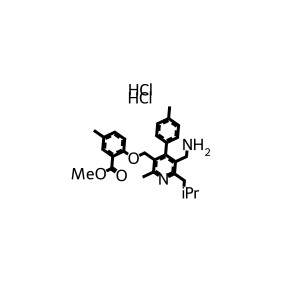 COC(=O)c1cc(C)ccc1OCc1c(C)nc(CC(C)C)c(CN)c1-c1ccc(C)cc1.Cl.Cl